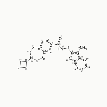 Cn1c(CNC(=O)c2ccc3c(c2)CCN(C2CCC2)CC3)nc2ccccc21